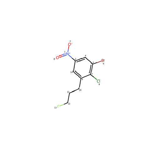 O=[N+]([O-])c1cc(Br)c(Cl)c(CCCF)c1